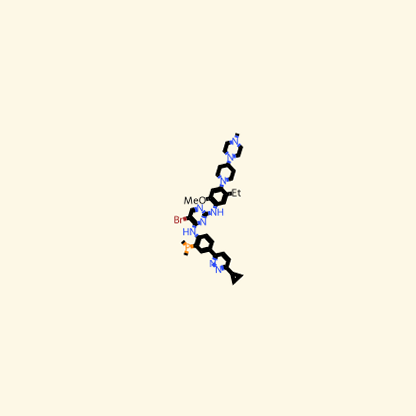 CCc1cc(Nc2ncc(Br)c(Nc3ccc(-c4ccc(C5CC5)nn4)cc3P(C)C)n2)c(OC)cc1N1CCC(N2CCN(C)CC2)CC1